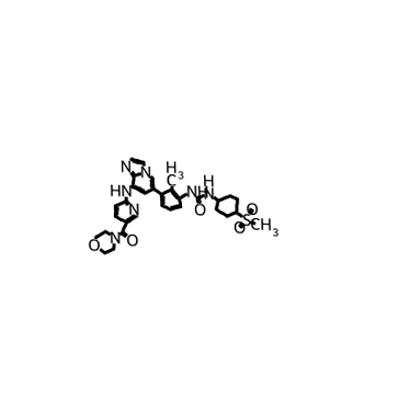 Cc1c(NC(=O)NC2CCC(S(C)(=O)=O)CC2)cccc1-c1cc(Nc2ccc(C(=O)N3CCOCC3)cn2)c2nccn2c1